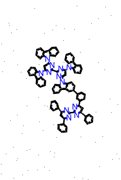 c1ccc(-c2cc(-c3ccccc3)nc(-c3nc(-c4ccccc4)cc(-c4cccc(-c5ccc6c(c5)c5ccccc5n6-c5cc(-n6c7ccccc7c7ccccc76)nc(-c6nc(-n7c8ccccc8c8ccccc87)cc(-n7c8ccccc8c8ccccc87)n6)n5)c4)n3)n2)cc1